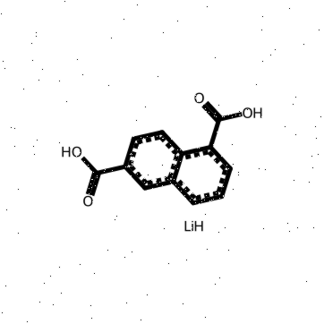 O=C(O)c1ccc2c(C(=O)O)cccc2c1.[LiH]